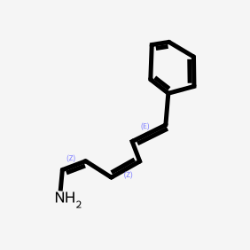 N\C=C/C=C\C=C\c1ccccc1